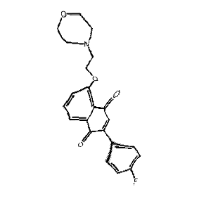 O=C1C(c2ccc(F)cc2)=CC(=O)c2c(OCCN3CCOCC3)cccc21